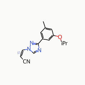 Cc1cc(OC(C)C)cc(-c2ncn(/C=C\C#N)n2)c1